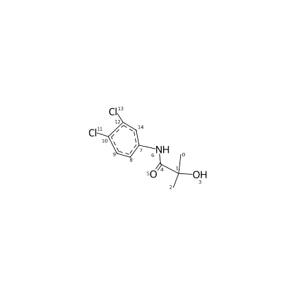 CC(C)(O)C(=O)Nc1ccc(Cl)c(Cl)c1